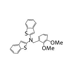 COc1cccc(CN(c2cc3ccccc3s2)c2cc3ccccc3s2)c1OC